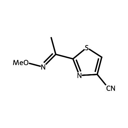 CON=C(C)c1nc(C#N)cs1